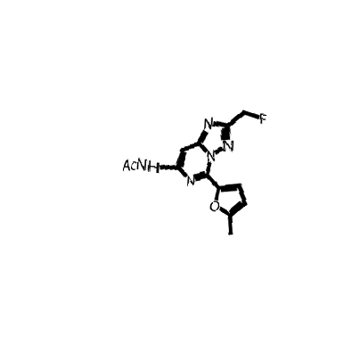 CC(=O)Nc1cc2nc(CF)nn2c(-c2ccc(C)o2)n1